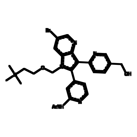 CC(=O)Nc1cc(-c2c(-c3ccc(CO)cn3)c3ncc(Br)cc3n2COCC[Si](C)(C)C)ccn1